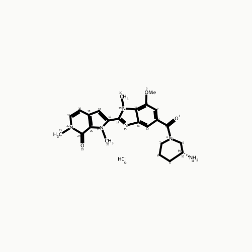 COc1cc(C(=O)N2CCC[C@@H](N)C2)cc2nc(-c3cc4ccn(C)c(=O)c4n3C)n(C)c12.Cl